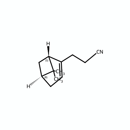 CC1(C)[C@H]2CC=C(CCC#N)[C@H]1C2